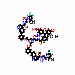 N#C[C@@H]1CC(F)(F)CN1C(=O)CNC(=O)c1ccnc2cc(-c3cccc(OCCCN(CCCOc4cccc(-c5ccc6c(C(=O)NCC(=O)N7CC(F)(F)C[C@H]7C#N)ccnc6c5)c4)C(=O)CNC(=O)c4ccc(C(=O)O)c(C5c6ccc(O)cc6Oc6cc(O)ccc65)c4)c3)ccc12